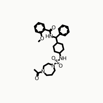 COc1ccccc1C(=O)NC(c1ccccc1)C1CCC(NS(=O)(=O)N2CCCN(C(C)=O)CC2)CC1